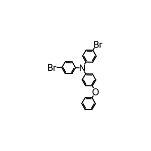 Brc1ccc(N(c2ccc(Br)cc2)c2ccc(Oc3ccccc3)cc2)cc1